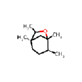 CC1OC2(C)C[C@@]1(C)CC[C@@H]2C